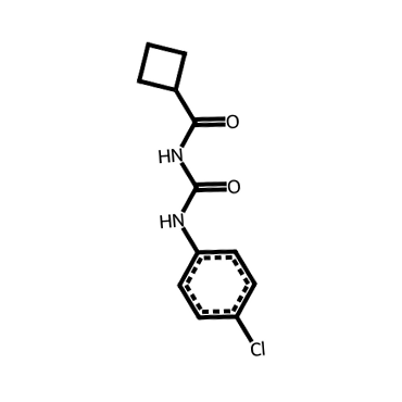 O=C(NC(=O)C1CCC1)Nc1ccc(Cl)cc1